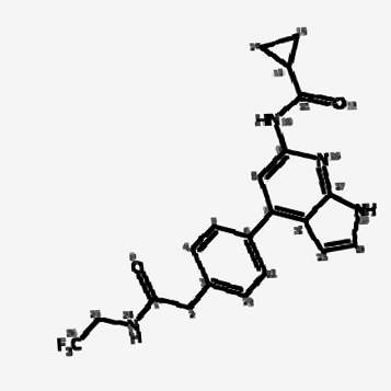 O=C(Cc1ccc(-c2cc(NC(=O)C3CC3)nc3[nH]ccc23)cc1)NCC(F)(F)F